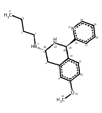 CCCCN[C@H]1Cc2cc(OC)ccc2[C@H](c2ccccn2)N1